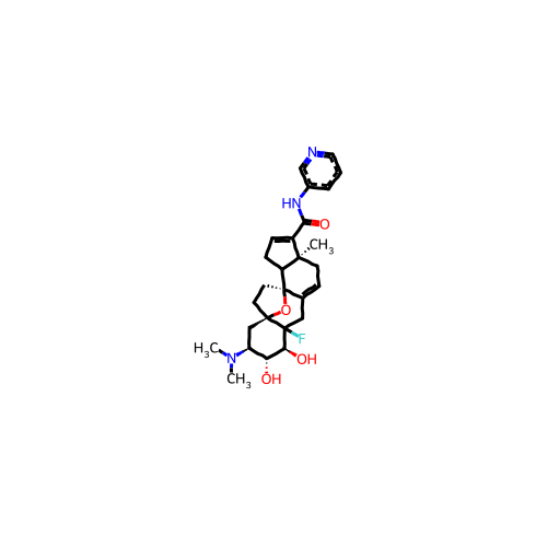 CN(C)[C@H]1C[C@@]23CC[C@@]4(O2)C(=CC[C@]2(C)C(C(=O)Nc5cccnc5)=CCC24)CC3(F)[C@@H](O)[C@@H]1O